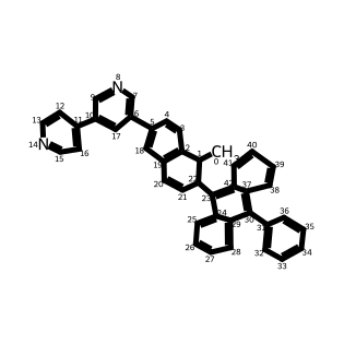 CC1c2ccc(-c3cncc(-c4ccncc4)c3)cc2C=CC1c1c2ccccc2c(-c2ccccc2)c2ccccc12